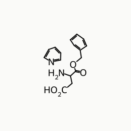 NC(CC(=O)O)C(=O)OCc1ccccc1.c1ccncc1